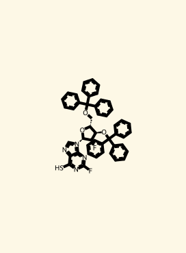 Fc1nc(S)c2ncn([C@@H]3O[C@H](COC(c4ccccc4)(c4ccccc4)c4ccccc4)[C@@H](OC(c4ccccc4)(c4ccccc4)c4ccccc4)[C@H]3F)c2n1